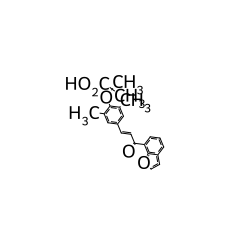 Cc1cc(C=CC(=O)c2cccc3ccoc23)cc(C)c1OC(C)(C)C(=O)O